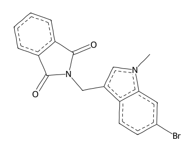 Cn1cc(CN2C(=O)c3ccccc3C2=O)c2ccc(Br)cc21